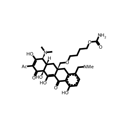 CNCc1ccc(O)c2c1C[C@@]1(COCCCCOC(N)=O)C[C@H]3[C@H](N(C)C)C(O)=C(C(C)=O)C(=O)[C@@]3(O)C(O)=C1C2=O